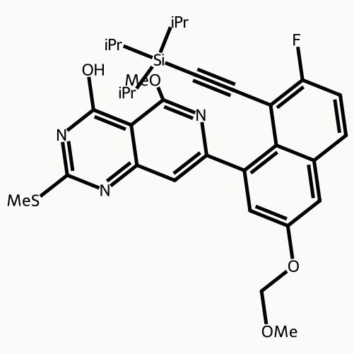 COCOc1cc(-c2cc3nc(SC)nc(O)c3c(OC)n2)c2c(C#C[Si](C(C)C)(C(C)C)C(C)C)c(F)ccc2c1